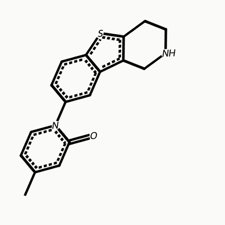 Cc1ccn(-c2ccc3sc4c(c3c2)CNCC4)c(=O)c1